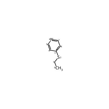 C[CH]Sc1ccncc1